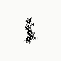 Cc1cc(Nc2nccc(-c3ccn(C(CO)c4ccc(Cl)c(F)c4)c(=O)c3)n2)ccn1